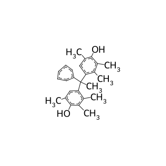 Cc1cc(C(C)(c2ccccc2)c2cc(C)c(O)c(C)c2C)c(C)c(C)c1O